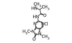 CNC(C)C(=O)Nc1ccc2c(n1)n(C)c(=O)n2C.Cl